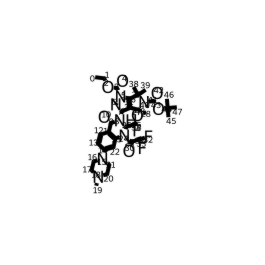 CCOC(=O)n1nc(NC(=O)c2ccc(N3CCN(C)CC3)cc2N(CCOC)C(=O)C(F)(F)F)c2c1C(C)(C)N(C(=O)OC(C)(C)C)C2